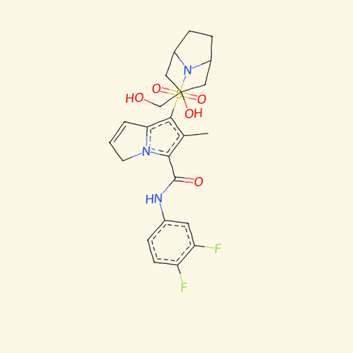 Cc1c(S(=O)(=O)N2C3CCC2CC(O)(CO)C3)c2n(c1C(=O)Nc1ccc(F)c(F)c1)CC=C2